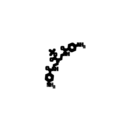 CC(C)(C)OC(=O)N(CCNC(=O)c1ccc(N)cc1)CCNC(=O)c1ccc(N)cc1